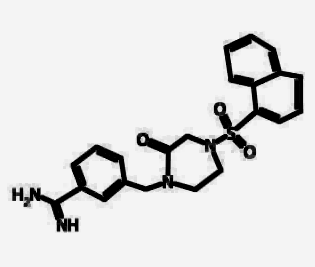 N=C(N)c1cccc(CN2CCN(S(=O)(=O)c3cccc4ccccc34)CC2=O)c1